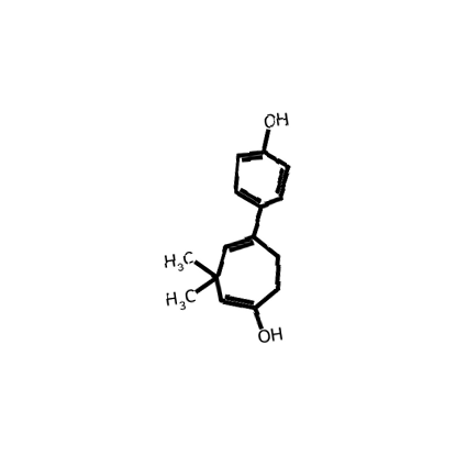 CC1(C)C=C(O)CCC(c2ccc(O)cc2)=C1